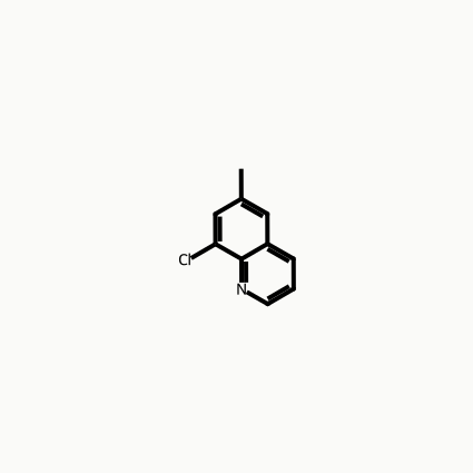 Cc1cc(Cl)c2ncccc2c1